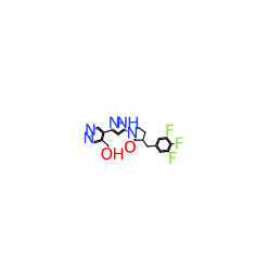 O=C1C(Cc2cc(F)c(F)c(F)c2)CCN1c1cc(-c2cnncc2CO)n[nH]1